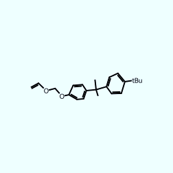 C=COCOc1ccc(C(C)(C)c2ccc(C(C)(C)C)cc2)cc1